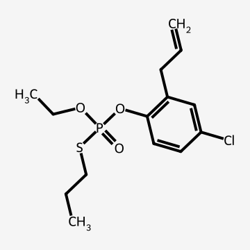 C=CCc1cc(Cl)ccc1OP(=O)(OCC)SCCC